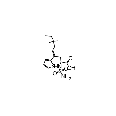 CCC(C)(C)CC=C(CC(NS(N)(=O)=O)C(=O)O)c1cccs1